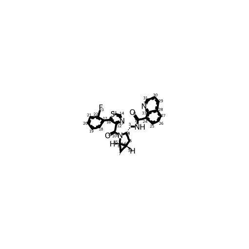 O=C(NC[C@@H]1C[C@@H]2C[C@@H]2N1C(=O)c1ncsc1-c1ccccc1F)c1cccc2cccnc12